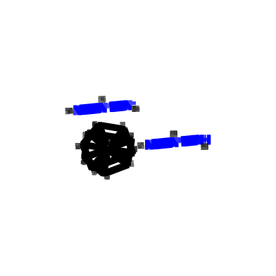 [CH]12[CH]3[CH]4[CH]5[CH]1[V]23451678[CH]2[CH]1[CH]6[CH]7[CH]28.[N-]=[N+]=N.[N-]=[N+]=[N-]